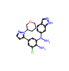 Nc1c(Cl)cc(-c2ccnn2C2CCCOC2)cc1N(N)c1ccc2cn[nH]c2c1